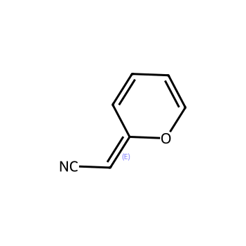 N#C/C=C1\C=CC=CO1